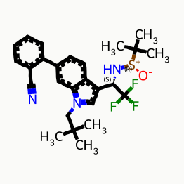 CC(C)(C)Cn1cc([C@H](N[S@@+]([O-])C(C)(C)C)C(F)(F)F)c2ccc(-c3ccccc3C#N)cc21